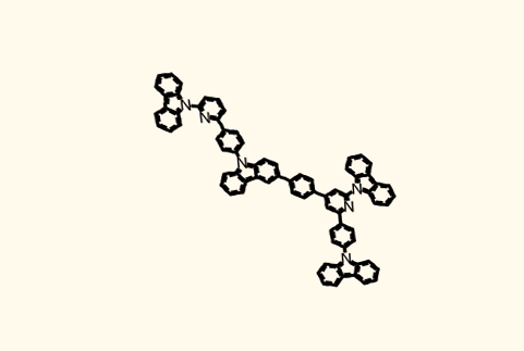 c1cc(-c2ccc(-n3c4ccccc4c4cc(-c5ccc(-c6cc(-c7ccc(-n8c9ccccc9c9ccccc98)cc7)nc(-n7c8ccccc8c8ccccc87)c6)cc5)ccc43)cc2)nc(-n2c3ccccc3c3ccccc32)c1